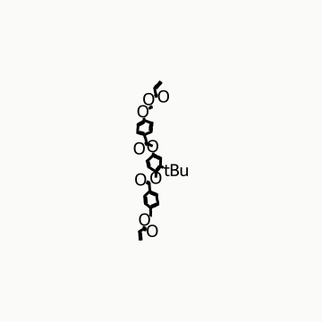 C=CC(=O)OCOc1ccc(C(=O)Oc2ccc(OC(=O)c3ccc(COC(=O)C=C)cc3)c(C(C)(C)C)c2)cc1